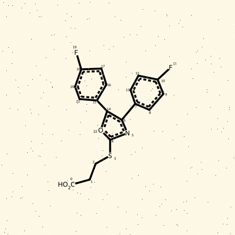 O=C(O)CCSc1nc(-c2ccc(F)cc2)c(-c2ccc(F)cc2)o1